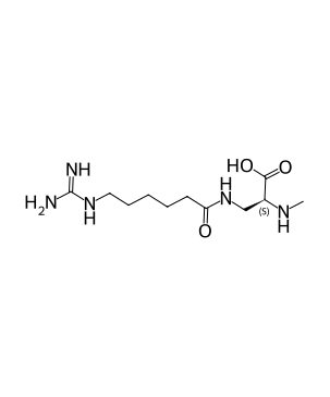 CN[C@@H](CNC(=O)CCCCCNC(=N)N)C(=O)O